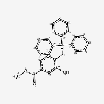 COC(=O)c1ccc(C[PH](c2ccccc2)(c2ccccc2)c2ccccc2)c(O)c1